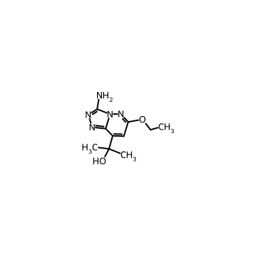 CCOc1cc(C(C)(C)O)c2nnc(N)n2n1